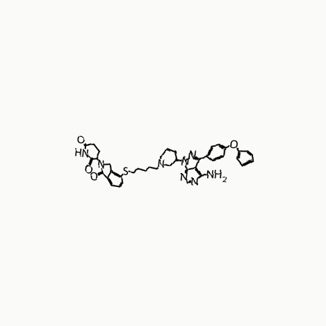 Nc1ncnc2c1c(-c1ccc(Oc3ccccc3)cc1)nn2C1CCCN(CCCCCSc2cccc3c2CN(C2CCC(=O)NC2=O)C3=O)C1